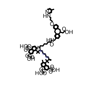 C=C(/C=C/C=C/C=C1/N(CCCCCC(=O)NCc2ccc3c(c2)Cc2cc(OCCCNc4cc(C)ccn4)ccc2CC3CC(=O)O)c2ccc3c(S(=O)(=O)O)cc(S(=O)(=O)O)cc3c2C1(C)C)C(C)(C)c1c(C)ccc2c(S(=O)(=O)O)cc(S(=O)(=O)O)cc12